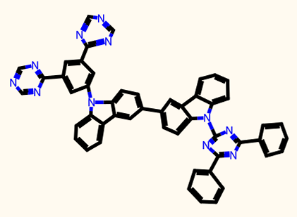 c1ccc(-c2nc(-c3ccccc3)nc(-n3c4ccccc4c4cc(-c5ccc6c(c5)c5ccccc5n6-c5cc(-c6ncncn6)cc(-c6ncncn6)c5)ccc43)n2)cc1